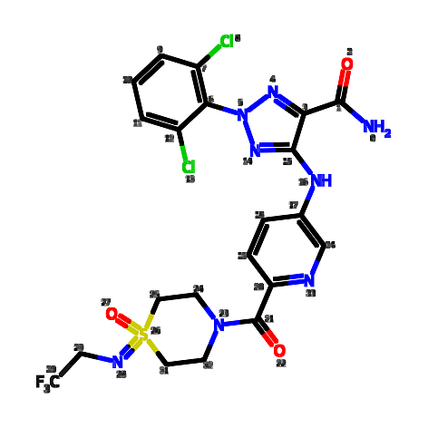 NC(=O)c1nn(-c2c(Cl)cccc2Cl)nc1Nc1ccc(C(=O)N2CCS(=O)(=NCC(F)(F)F)CC2)nc1